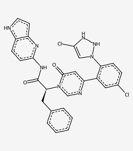 O=C(Nc1ccc2[nH]ccc2n1)[C@H](Cc1ccccc1)n1cnc(-c2cc(Cl)ccc2N2C=C(Cl)NN2)cc1=O